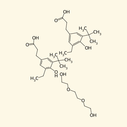 CCc1cc(CCC(=O)O)cc(C(C)(C)C)c1O.CCc1cc(CCC(=O)O)cc(C(C)(C)C)c1O.OCCOCCOCCO